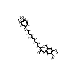 COc1cc2c(cc1OC)CC(=O)C(CCCCNCCCOc1ccc3c(c1)OCO3)CC2